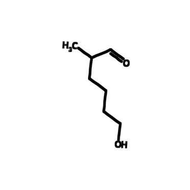 CC(C=O)CCCCO